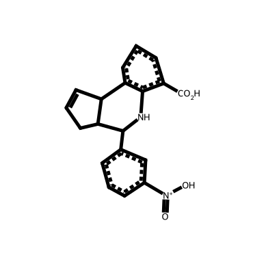 O=C(O)c1cccc2c1NC(c1cccc([N+](=O)O)c1)C1CC=CC21